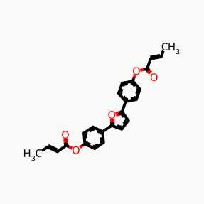 CC=CC(=O)Oc1ccc(-c2ccc(-c3ccc(OC(=O)C=CC)cc3)o2)cc1